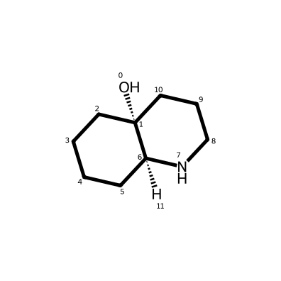 O[C@@]12CCCC[C@@H]1NCCC2